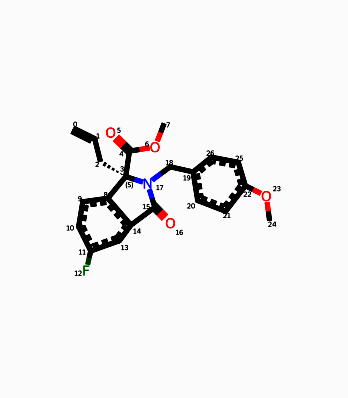 C=CC[C@@]1(C(=O)OC)c2ccc(F)cc2C(=O)N1Cc1ccc(OC)cc1